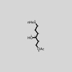 CCCCCCCCCC(O)CCOC(C)=O